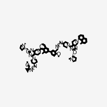 COCC1(N=C=NC2CCN(c3nc(OC[C@@H]4CCCN4C)nc4c3CCN(c3cccc5cc(-c6ccc(OC)c(CN=C=NC7CCN(c8nc(OC[C@@H]9CCCN9C)nc9c8CCN(c8cccc%10cccc(C)c8%10)C9)CC7)c6)cc(C)c35)C4)CC2)CC1